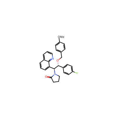 COc1ccc(CO[C@H](c2ccc(F)cc2)[C@H](c2cccc3cccnc23)N2CCCC2=O)cc1